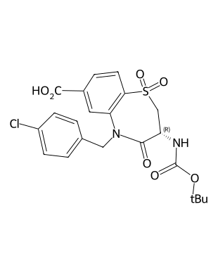 CC(C)(C)OC(=O)N[C@H]1CS(=O)(=O)c2ccc(C(=O)O)cc2N(Cc2ccc(Cl)cc2)C1=O